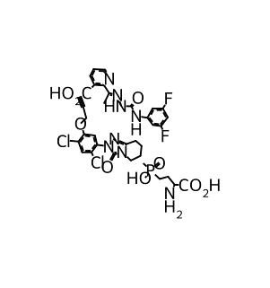 C#CCOc1cc(-n2nc3n(c2=O)CCCC3)c(Cl)cc1Cl.C/C(=N\NC(=O)Nc1cc(F)cc(F)c1)c1ncccc1C(=O)O.CP(=O)(O)CCC(N)C(=O)O